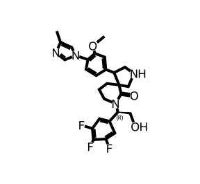 COc1cc(C2CNCC23CCCN([C@@H](CO)c2cc(F)c(F)c(F)c2)C3=O)ccc1-n1cnc(C)c1